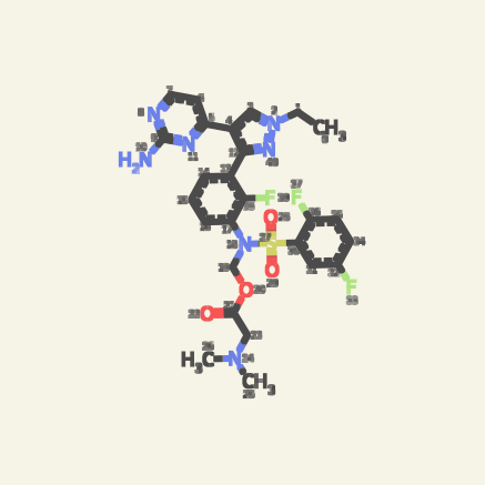 CCn1cc(-c2ccnc(N)n2)c(-c2cccc(N(COC(=O)CN(C)C)S(=O)(=O)c3cc(F)ccc3F)c2F)n1